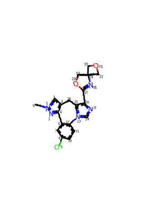 Cn1cc2c(n1)-c1cc(Cl)ccc1-n1cnc(C3=NC4(COC4)CO3)c1C2